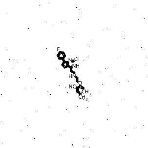 C=C/C=C(C#N)\C(=C/C)OCCNCCC(=N)C1=C(/N=C/Cl)C(c2ccc(F)cc2)CC1